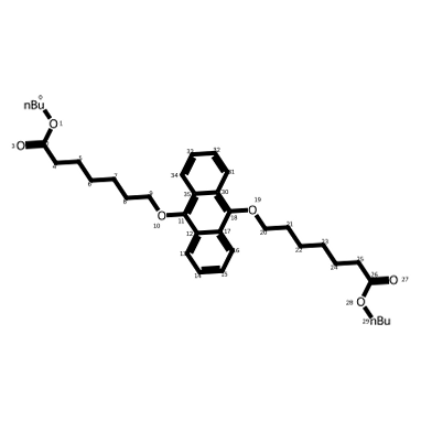 CCCCOC(=O)CCCCCCOc1c2ccccc2c(OCCCCCCC(=O)OCCCC)c2ccccc12